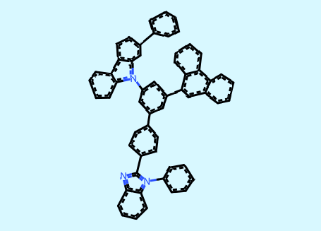 c1ccc(-c2ccc3c4ccccc4n(-c4cc(-c5ccc(-c6nc7ccccc7n6-c6ccccc6)cc5)cc(-c5cc6ccccc6c6ccccc56)c4)c3c2)cc1